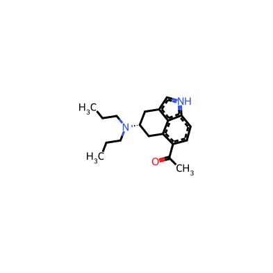 CCCN(CCC)[C@@H]1Cc2c[nH]c3ccc(C(C)=O)c(c23)C1